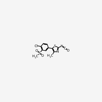 Cc1nc(N=C=O)sc1-c1ccc(Cl)c(S(C)(=O)=O)c1